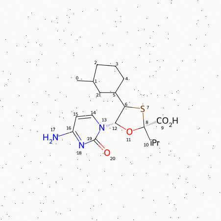 CC1CCCC(C2S[C@@](C(=O)O)(C(C)C)O[C@@H]2n2ccc(N)nc2=O)C1